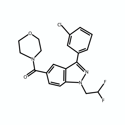 O=C(c1ccc2c(c1)c(-c1cccc(Cl)c1)nn2CC(F)F)N1CCOCC1